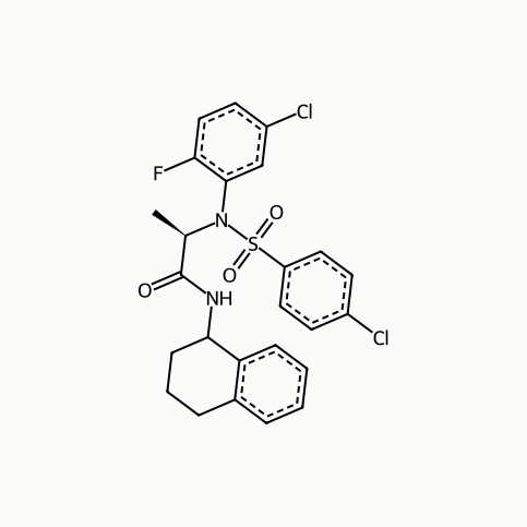 C[C@H](C(=O)NC1CCCc2ccccc21)N(c1cc(Cl)ccc1F)S(=O)(=O)c1ccc(Cl)cc1